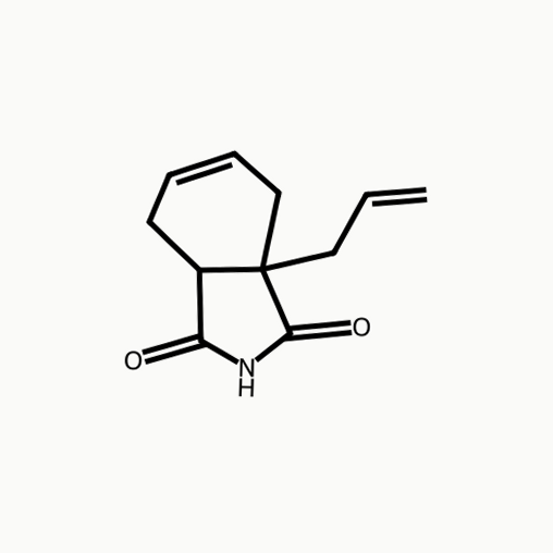 C=CCC12CC=CCC1C(=O)NC2=O